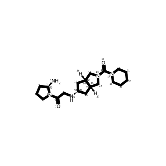 N[C@@H]1CCCN1C(=O)CN[C@@H]1C[C@@H]2CN(C(=O)N3CCCCC3)C[C@@H]2C1